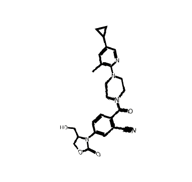 Cc1cc(C2CC2)cnc1N1CCN(C(=O)c2ccc(N3C(=O)OCC3CO)cc2C#N)CC1